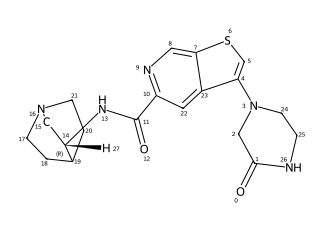 O=C1CN(c2csc3cnc(C(=O)N[C@H]4CN5CCC4CC5)cc23)CCN1